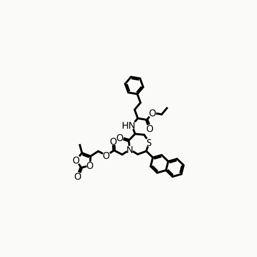 CCOC(=O)C(CCc1ccccc1)NC1CSC(c2ccc3ccccc3c2)CN(CC(=O)OCc2oc(=O)oc2C)C1=O